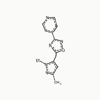 CCn1nc(C)cc1-c1nc(-c2ccncc2)no1